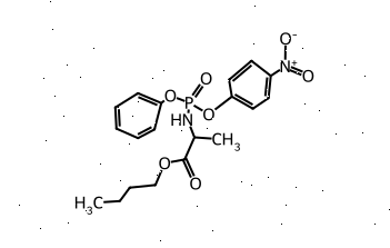 CCCCOC(=O)C(C)NP(=O)(Oc1ccccc1)Oc1ccc([N+](=O)[O-])cc1